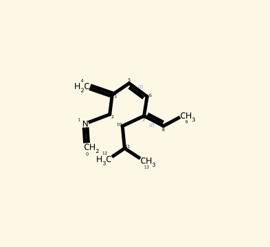 C=NCC(=C)/C=C\C(=C/C)CC(C)C